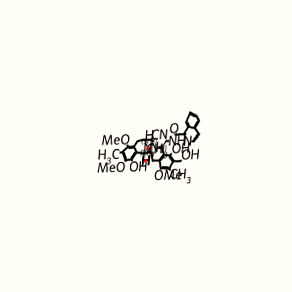 COc1c(C)c(OC)c2c(c1O)[C@@H]1[C@@H]3Cc4c(OC)c(C)c(CO)c(O)c4[C@H](CNC(=O)c4nccc5ccccc45)N3[C@@H](C#N)[C@H](C2)N1C